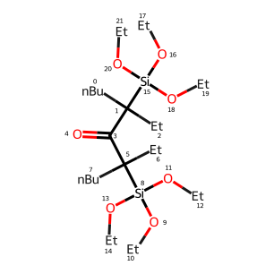 CCCCC(CC)(C(=O)C(CC)(CCCC)[Si](OCC)(OCC)OCC)[Si](OCC)(OCC)OCC